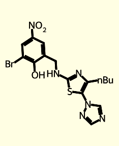 CCCCc1nc(NCc2cc([N+](=O)[O-])cc(Br)c2O)sc1-n1cncn1